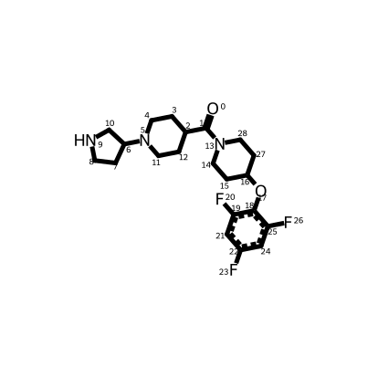 O=C(C1CCN(C2CCNC2)CC1)N1CCC(Oc2c(F)cc(F)cc2F)CC1